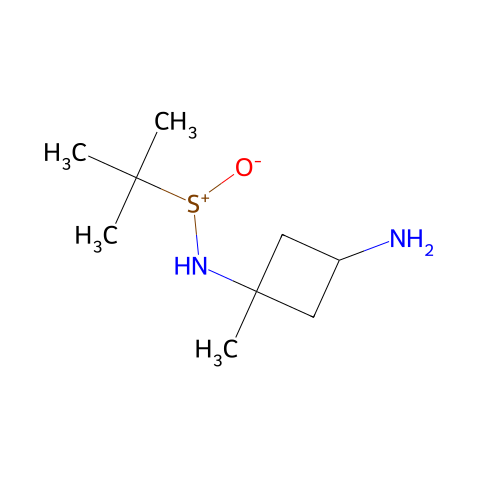 CC1(N[S+]([O-])C(C)(C)C)CC(N)C1